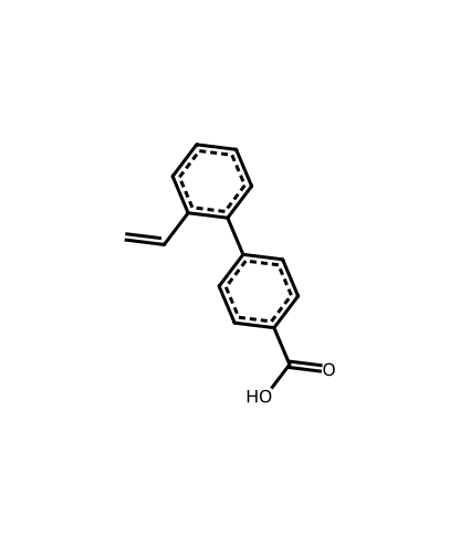 C=Cc1ccccc1-c1ccc(C(=O)O)cc1